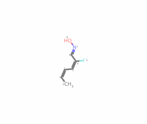 C\C=C/C=C(F)\C=N\O